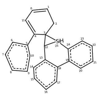 C1=CCC2(C(c3ccccc3)=C1)C1c3ccccc3-c3ccccc3[SiH]12